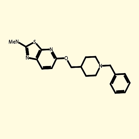 CNc1nc2ccc(OCC3CCN(Cc4ccccc4)CC3)nc2s1